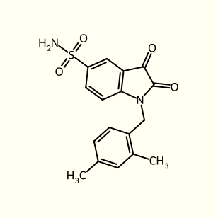 Cc1ccc(CN2C(=O)C(=O)c3cc(S(N)(=O)=O)ccc32)c(C)c1